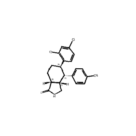 N#Cc1ccc([C@@H]2[C@@H]3CNC(=O)[C@@H]3CC[C@H]2c2ccc(Cl)cc2Cl)cc1